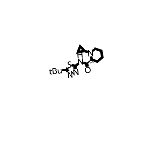 CC(C)(C)c1nnc(NC(=O)[C@@H]2CCCCN2C2CC2)s1